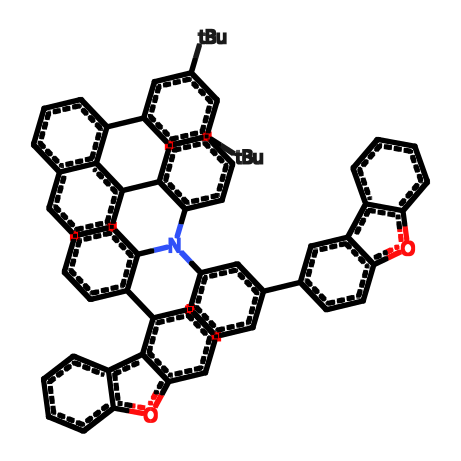 CC(C)(C)c1cc(-c2cccc3cccc(-c4ccccc4N(c4cccc(-c5ccc6oc7ccccc7c6c5)c4)c4ccccc4-c4cccc5oc6ccccc6c45)c23)cc(C(C)(C)C)c1